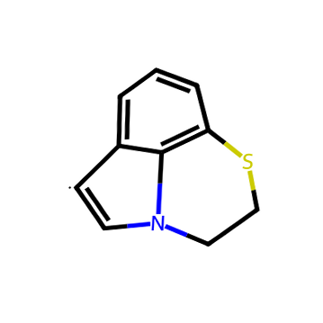 [c]1cn2c3c(cccc13)SCC2